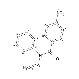 C=CN(C(=O)c1ccc([N+](=O)[O-])cc1)c1ccccc1